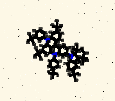 CC(C)(C)c1ccc(N2c3cc(N4c5ccc(C(C)(C)C)cc5C5(C)C(C)(C)CCC(C)(C)C45C)ccc3B3c4ccc(C(C)(C)C)cc4N(c4cccc(C(C)(C)C)c4)c4cc(C(C)(C)C)cc2c43)cc1